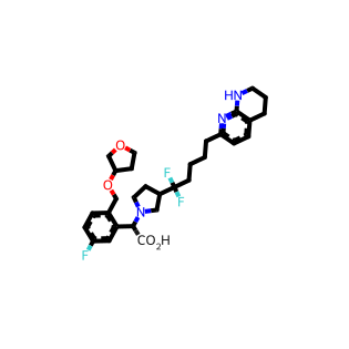 O=C(O)C(c1cc(F)ccc1COC1CCOC1)N1CCC(C(F)(F)CCCCc2ccc3c(n2)NCCC3)C1